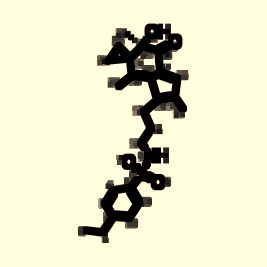 CCc1ccc(S(=O)(=O)NCCCC2=C(C)C=C3C(=O)[C@](C)(O)C4(CC4)C(C)=C32)cc1